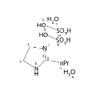 CCCC1=NCCN1.O.O.O=S(=O)(O)O.O=S(=O)(O)O